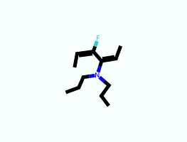 C/C=C(F)\C(=C/C)N(CCC)CCC